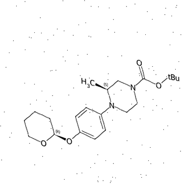 C[C@H]1CN(C(=O)OC(C)(C)C)CCN1c1ccc(O[C@@H]2CCCCO2)cc1